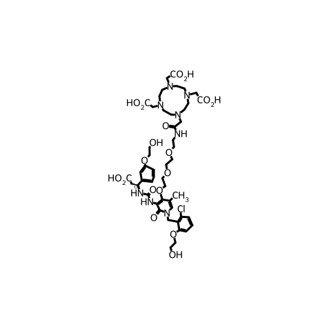 Cc1cn(Cc2c(Cl)cccc2OCCO)c(=O)c(NC(=O)N[C@@H](CC(=O)O)c2cccc(OCCO)c2)c1OCCOCCOCCNC(=O)CN1CCN(CC(=O)O)CCN(CC(=O)O)CCN(CC(=O)O)CC1